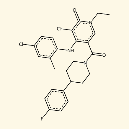 CCn1cc(C(=O)N2CCC(c3ccc(F)cc3)CC2)c(Nc2ccc(Cl)cc2C)c(Cl)c1=O